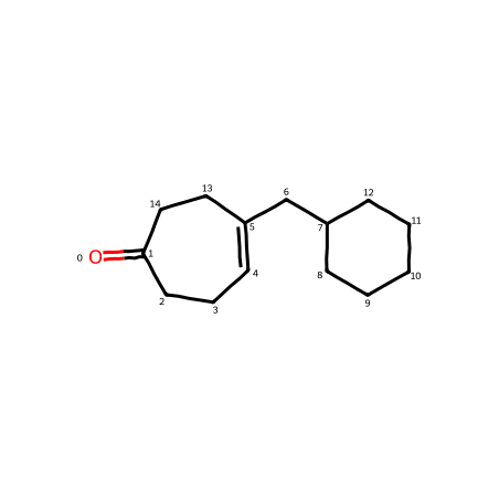 O=C1CCC=C(CC2CCCCC2)CC1